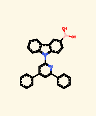 OB(O)c1ccc2c(c1)c1ccccc1n2-c1cc(-c2ccccc2)cc(-c2ccccc2)n1